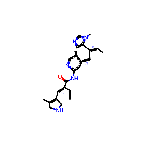 C=C/C(=C\C1=C(C)CNC1)C(=O)Nc1c/c(=C/C(=C\C)c2cncn2C)c(=C)cn1